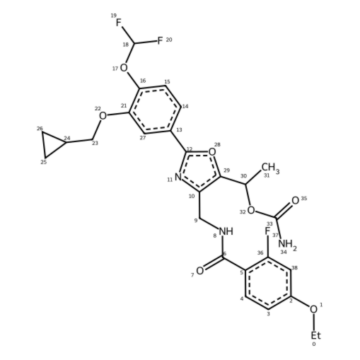 CCOc1ccc(C(=O)NCc2nc(-c3ccc(OC(F)F)c(OCC4CC4)c3)oc2C(C)OC(N)=O)c(F)c1